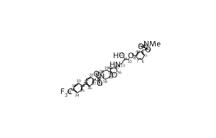 CNS(=O)(=O)c1cccc(OCC(O)CNC2COC3(CCN(S(=O)(=O)c4ccc(-c5ccc(C(F)(F)F)cc5)cc4)CC3)C2)c1